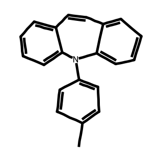 Cc1ccc(N2c3ccccc3C=Cc3ccccc32)cc1